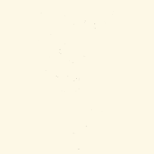 Cc1c(F)cc(C(=O)NC2CC2)cc1-n1ccnc(NC2(c3ccccc3OCCCl)CC2)c1=O